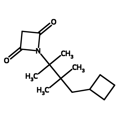 CC(C)(CC1CCC1)C(C)(C)N1C(=O)CC1=O